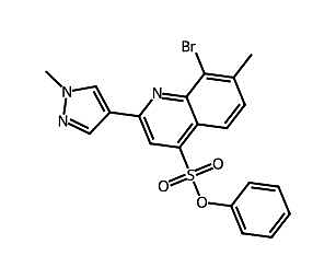 Cc1ccc2c(S(=O)(=O)Oc3ccccc3)cc(-c3cnn(C)c3)nc2c1Br